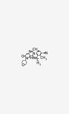 Cc1nc(N[C@H](C)c2cccc(C#N)c2C)c2cn(C3CCOCC3)c(=O)cc2n1